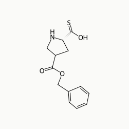 O=C(OCc1ccccc1)C1CN[C@H](C(O)=S)C1